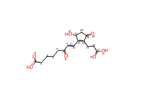 O=C(O)CCCCC(=O)/C=C/C1=C(CCC(=O)O)C(=O)CC1O